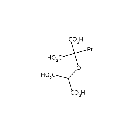 CCC(OC(C(=O)O)C(=O)O)(C(=O)O)C(=O)O